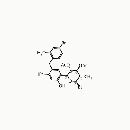 CC[C@H]1O[C@@H](c2cc(Cc3ccc(Br)cc3C)c(C(C)C)cc2O)[C@H](OC(C)=O)[C@@H](OC(C)=O)[C@@H]1C